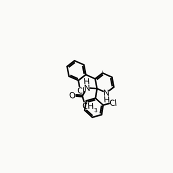 CC(=O)NC1(c2ccccc2Cl)NC=C[C]=C1c1ccccc1Cl